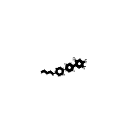 CCCCC[C@H]1CC[C@H](c2ccc(-c3cc(F)c(F)cc3F)cc2)CC1